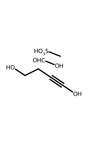 CS(=O)(=O)O.O=CO.OC#CCCO